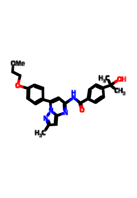 COCCOc1ccc(-c2cc(NC(=O)c3ccc(C(C)(C)O)cc3)nc3cc(C)nn23)cc1